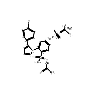 C.C.C#CC.NC(O)=S.NC(O)=S.NS(=O)(=O)c1ccccc1-n1nccc1-c1ccc(F)cc1.O